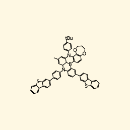 CC1=CC2C3B(c4cc(-c5ccc6c(c5)sc5ccccc56)ccc4N2c2ccc(-c4ccc5c(c4)sc4ccccc45)cc2)c2ccc4c(c2N(c2ccc(C(C)(C)C)cc2)C3=C1)OCCCO4